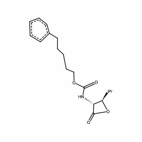 CC(C)[C@H]1OC(=O)[C@@H]1NC(=O)OCCCCCc1ccccc1